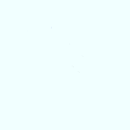 C#CCN1C(Cc2ccc(Cl)cc2)C(=O)N2[C@@H](Cc3ccccc3)C(=O)N(Cc3cccc4c(C(C)=O)c[nH]c34)C[C@@H]2N1S(C)(=O)=O